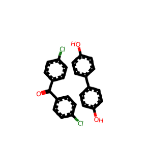 O=C(c1ccc(Cl)cc1)c1ccc(Cl)cc1.Oc1ccc(-c2ccc(O)cc2)cc1